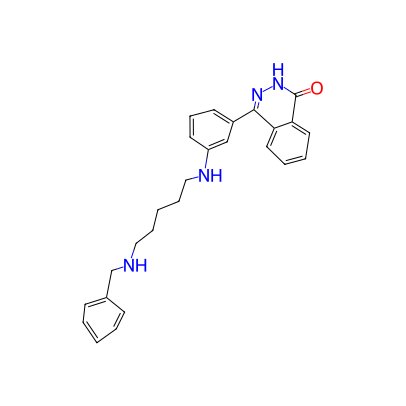 O=c1[nH]nc(-c2cccc(NCCCCCNCc3ccccc3)c2)c2ccccc12